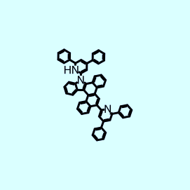 C1=C(c2ccccc2)C=C(n2c3ccccc3c3c4c5ccccc5c(-c5cc(-c6ccccc6)cc(-c6ccccc6)n5)cc4c4ccccc4c32)NC1c1ccccc1